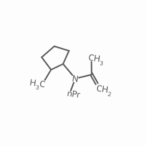 C=C(C)N(CCC)C1CCCC1C